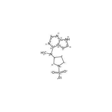 CCS(=O)(=O)N1CCC(N(C)c2ncnc3[nH]ccc23)C1